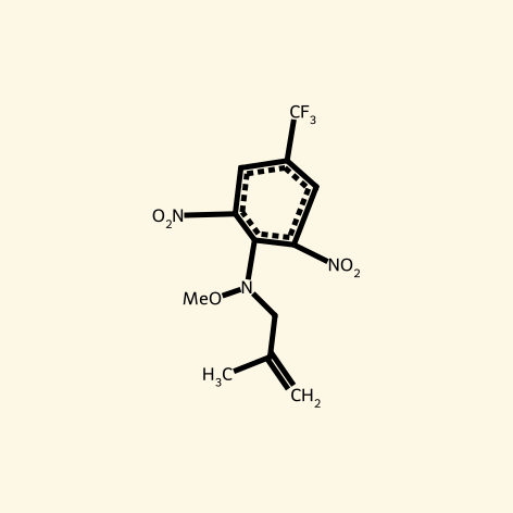 C=C(C)CN(OC)c1c([N+](=O)[O-])cc(C(F)(F)F)cc1[N+](=O)[O-]